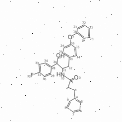 O=C(CCc1ccccc1)NC(Cc1ccc(Oc2ccccc2)cc1)C(O)c1ccc(F)cc1